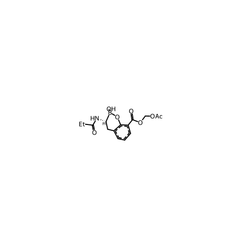 CCC(=O)N[C@H]1Cc2cccc(C(=O)OCOC(C)=O)c2OB1O